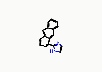 c1ccc2cc3c(-c4ncc[nH]4)cccc3cc2c1